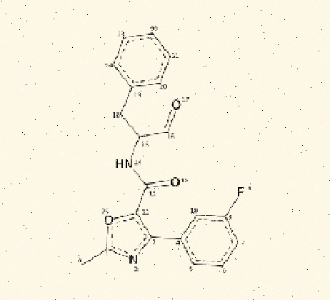 Cc1nc(-c2cccc(F)c2)c(C(=O)NC(C=O)Cc2ccccc2)o1